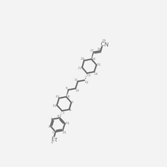 CCc1ccc([C@H]2CC[C@H](CCCC[C@H]3CC[C@H](C=CC#N)CC3)CC2)cc1